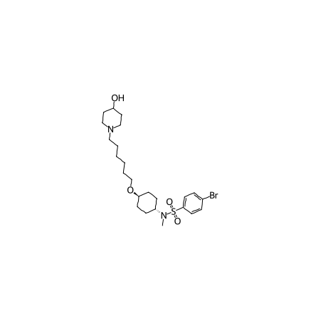 CN([C@H]1CC[C@H](OCCCCCCN2CCC(O)CC2)CC1)S(=O)(=O)c1ccc(Br)cc1